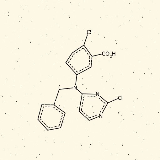 O=C(O)c1cc(N(Cc2ccccc2)c2ccnc(Cl)n2)ccc1Cl